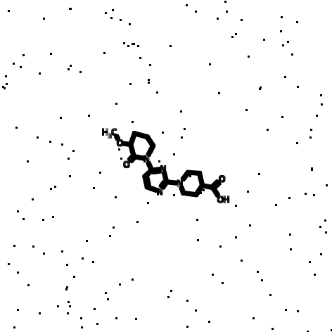 COC1CCCN(c2ccnc(N3CCC(C(=O)O)CC3)n2)C1=O